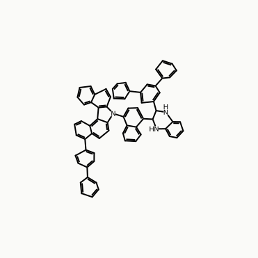 c1ccc(-c2ccc(-c3cccc4c3ccc3c4c4c5ccccc5ccc4n3-c3ccc(C4Nc5ccccc5NC4c4cc(-c5ccccc5)cc(-c5ccccc5)c4)c4ccccc34)cc2)cc1